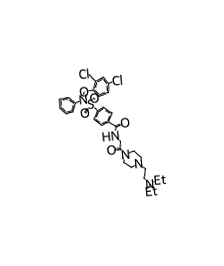 CCN(CC)CCN1CCN(C(=O)CNC(=O)c2ccc(S(=O)(=O)N(Oc3ccc(Cl)cc3Cl)c3ccccc3)cc2)CC1